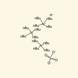 CCCC[N+](CCCC)(CCCC)CCCC.CCCC[N+](CCCC)(CCCC)CCCC.CCCC[N+](CCCC)(CCCC)CCCC.O=S(=O)([O-])[O-].[H-]